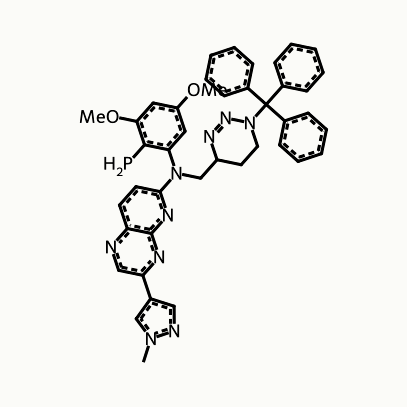 COc1cc(OC)c(P)c(N(CC2CCN(C(c3ccccc3)(c3ccccc3)c3ccccc3)N=N2)c2ccc3ncc(-c4cnn(C)c4)nc3n2)c1